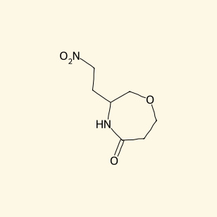 O=C1CCOCC(CC[N+](=O)[O-])N1